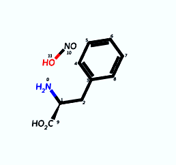 N[C@@H](Cc1ccccc1)C(=O)O.O=NO